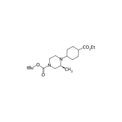 CCOC(=O)C1CCC(N2CCN(C(=O)OC(C)(C)C)C[C@@H]2C)CC1